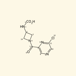 O=C(O)NC1CN(C(=O)c2cncc(Cl)n2)C1